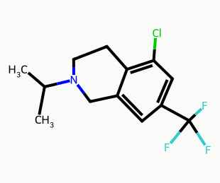 CC(C)N1CCc2c(Cl)cc(C(F)(F)F)cc2C1